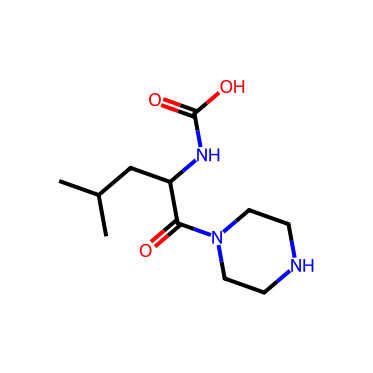 CC(C)CC(NC(=O)O)C(=O)N1CCNCC1